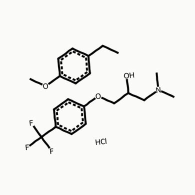 CCc1ccc(OC)cc1.CN(C)CC(O)COc1ccc(C(F)(F)F)cc1.Cl